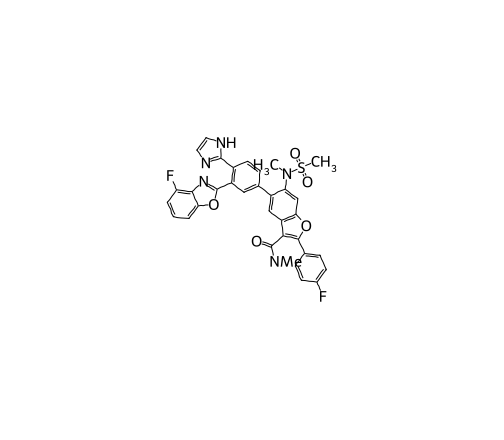 CNC(=O)c1c(-c2ccc(F)cc2)oc2cc(N(C)S(C)(=O)=O)c(-c3ccc(-c4ncc[nH]4)c(-c4nc5c(F)cccc5o4)c3)cc12